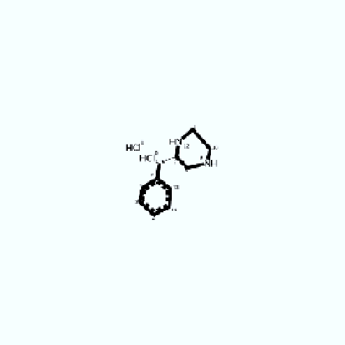 Cl.Cl.c1ccc(C[C@H]2CNCCN2)cc1